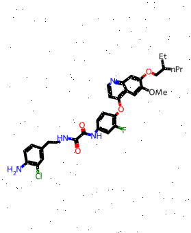 CCCC(CC)COc1cc2nccc(Oc3ccc(NC(=O)C(=O)NCCc4ccc(N)c(Cl)c4)cc3F)c2cc1OC